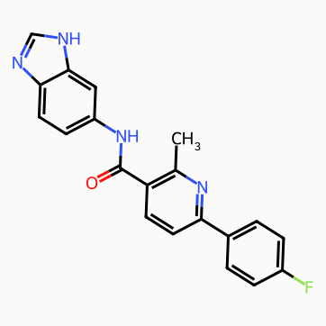 Cc1nc(-c2ccc(F)cc2)ccc1C(=O)Nc1ccc2nc[nH]c2c1